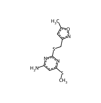 CSc1cc(N)nc(SCc2cc(C)on2)n1